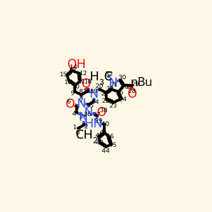 C=CCN1CC(=O)N2C(Cc3ccc(O)cc3)C(=O)N(Cc3cccc4c(C(=O)CCCC)cn(C)c34)CC2N1C(=O)NCc1ccccc1